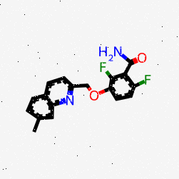 Cc1ccc2ccc(COc3ccc(F)c(C(N)=O)c3F)nc2c1